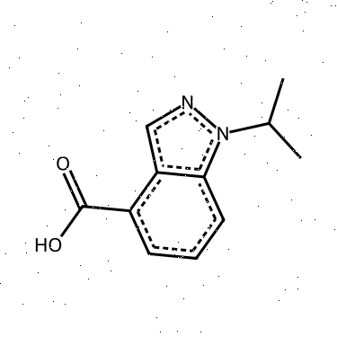 CC(C)n1ncc2c(C(=O)O)cccc21